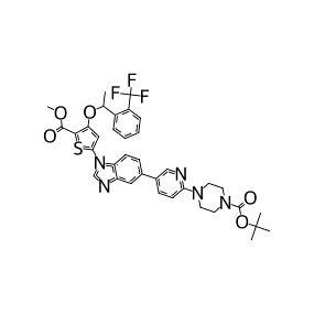 COC(=O)c1sc(-n2cnc3cc(-c4ccc(N5CCN(C(=O)OC(C)(C)C)CC5)nc4)ccc32)cc1OC(C)c1ccccc1C(F)(F)F